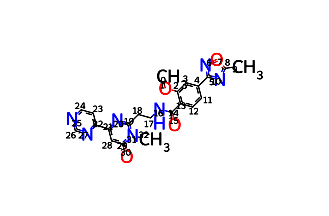 COc1cc(-c2noc(C)n2)ccc1C(=O)NCCc1nc(-c2ccncn2)cc(=O)n1C